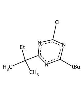 CCC(C)(C)c1nc(Cl)nc(C(C)(C)C)n1